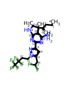 C=C(CCC)C1(C)C(=C)Nc2nc(-c3cc(CC(F)F)n(CCC(F)(F)C(F)(F)F)n3)nc(N)c21